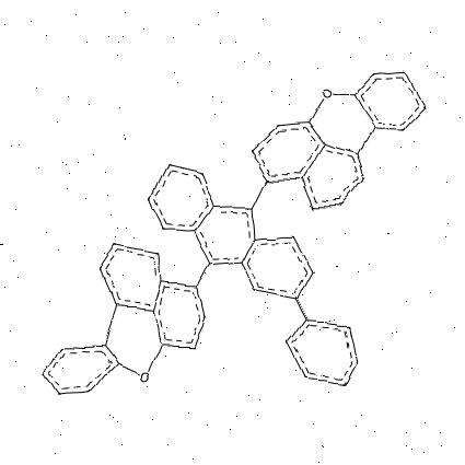 c1ccc(-c2ccc3c(-c4ccc5c6c(cccc46)-c4ccccc4O5)c4ccccc4c(-c4ccc5c6c(cccc46)-c4ccccc4O5)c3c2)cc1